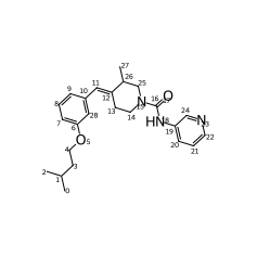 CC(C)CCOc1cccc(C=C2CCN(C(=O)Nc3cccnc3)CC2C)c1